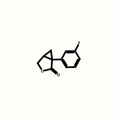 O=C1OCC2CC12c1cccc(F)c1